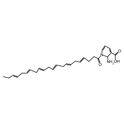 CCC=CCC=CCC=CCC=CCC=CCC=CCCC(=O)N1C=CC=C(C(=O)O)C1N